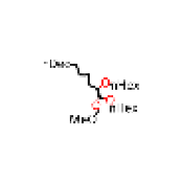 CCCCCCCCCCCCCCC(OCCCCCC)=C(OCCCCCC)OCOC